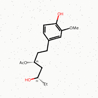 CC[C@H](O)C[C@@H](CCc1ccc(O)c(OC)c1)OC(C)=O